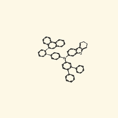 C1=c2sc3cc(N(c4ccc(-c5ccccc5-c5cc6ccccc6c6ccccc56)cc4)c4ccc(-c5ccccc5)c(-c5ccccc5)c4)ccc3c2=CCC1